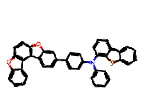 c1ccc(N(c2ccc(-c3ccc4c(c3)oc3ccc5oc6ccccc6c5c34)cc2)c2cccc3c2sc2ccccc23)cc1